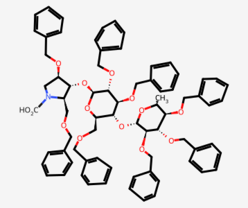 C[C@H]1O[C@@H](O[C@H]2[C@H](OCc3ccccc3)[C@@H](OCc3ccccc3)[C@H](O[C@@H]3[C@@H](COCc4ccccc4)N(C(=O)O)C[C@H]3OCc3ccccc3)O[C@@H]2COCc2ccccc2)[C@H](OCc2ccccc2)[C@@H](OCc2ccccc2)[C@@H]1OCc1ccccc1